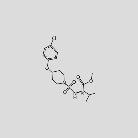 COC(=O)[C@H](NS(=O)(=O)N1CCC(Oc2ccc(Cl)cc2)CC1)C(C)C